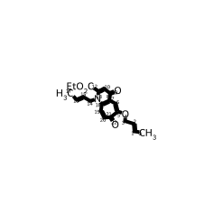 CC=CCOc1cc2c(=O)cc(C(=O)OCC)n(CC=CC)c2ccc1=O